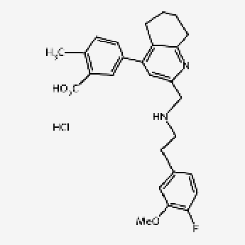 COc1cc(CCNCc2cc(-c3ccc(C)c(C(=O)O)c3)c3c(n2)CCCC3)ccc1F.Cl